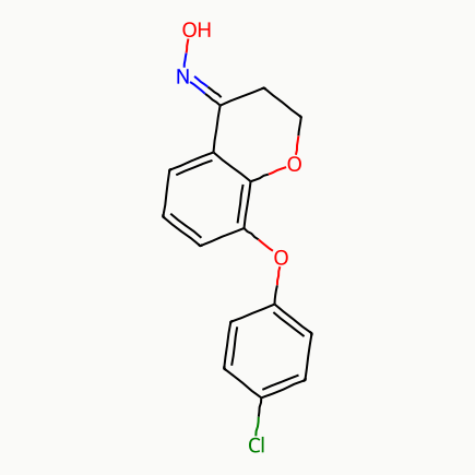 ON=C1CCOc2c(Oc3ccc(Cl)cc3)cccc21